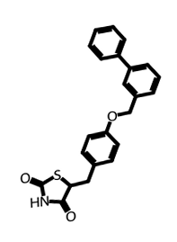 O=C1NC(=O)C(Cc2ccc(OCc3cccc(-c4ccccc4)c3)cc2)S1